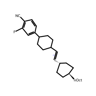 CCCCCCCC[C@H]1CC[C@H](/C=C/C2CCC(c3ccc(C#N)c(F)c3)CC2)CC1